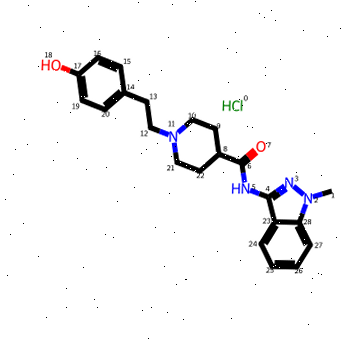 Cl.Cn1nc(NC(=O)C2CCN(CCc3ccc(O)cc3)CC2)c2ccccc21